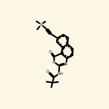 CC(C)(C)C(=O)NC1=Nc2ccc3ccc(C#C[Si](C)(C)C)cc3c2C(=O)[N]1